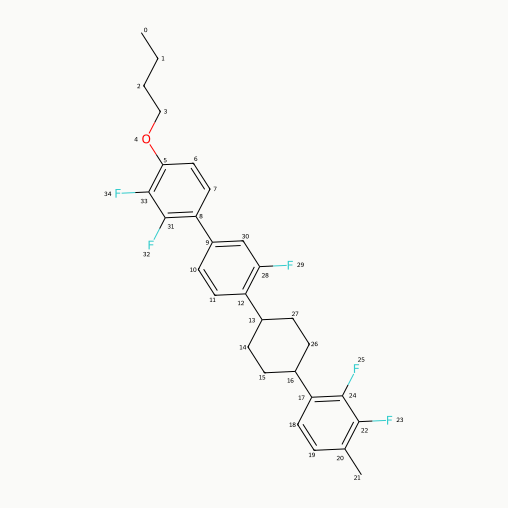 CCCCOc1ccc(-c2ccc(C3CCC(c4ccc(C)c(F)c4F)CC3)c(F)c2)c(F)c1F